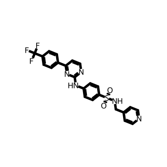 O=S(=O)(NCc1ccncc1)c1ccc(Nc2nccc(-c3ccc(C(F)(F)F)cc3)n2)cc1